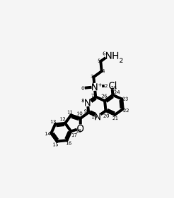 C[N+](C)(CCCN)c1nc(-c2cc3ccccc3o2)nc2cccc(Cl)c12